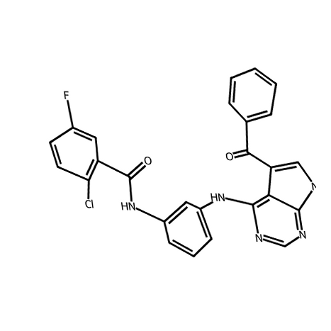 O=C(Nc1cccc(Nc2ncnc3[nH]cc(C(=O)c4ccccc4)c23)c1)c1cc(F)ccc1Cl